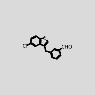 O=Cc1cccc(Cc2csc3ccc(Cl)cc23)c1